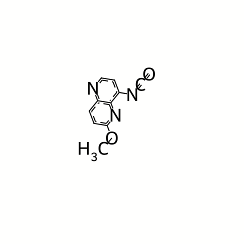 COc1ccc2nccc(N=C=O)c2n1